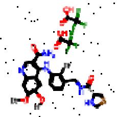 CCOc1cc2ncc(C(N)=O)c(Nc3cccc(CNC(=O)[C@@H]4CSCN4)c3CC)c2cc1OCC.O=C(O)C(F)(F)F.O=C(O)C(F)(F)F